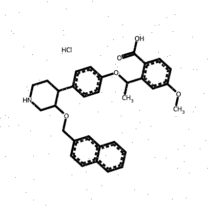 COc1ccc(C(=O)O)c(C(C)Oc2ccc(C3CCNCC3OCc3ccc4ccccc4c3)cc2)c1.Cl